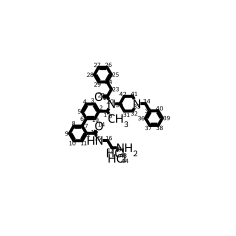 CC(c1cccc(-c2ccccc2C(=O)NCCN)c1)N(C(=O)Cc1ccccc1)C1CCN(Cc2ccccc2)CC1.Cl.Cl